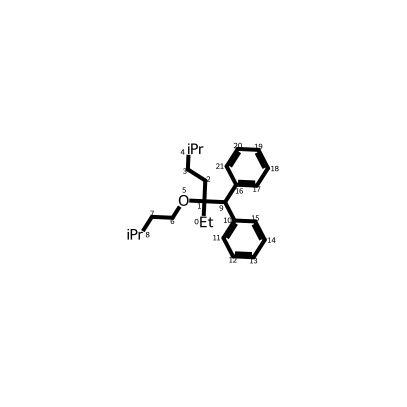 CCC(CCC(C)C)(OCCC(C)C)C(c1ccccc1)c1ccccc1